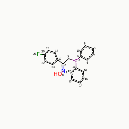 ON=C(CP(c1ccccc1)c1ccccc1)c1ccc(F)cc1